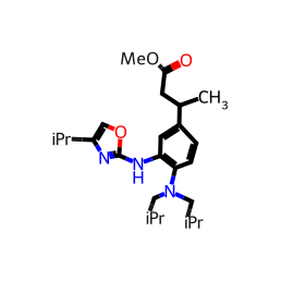 COC(=O)CC(C)c1ccc(N(CC(C)C)CC(C)C)c(Nc2nc(C(C)C)co2)c1